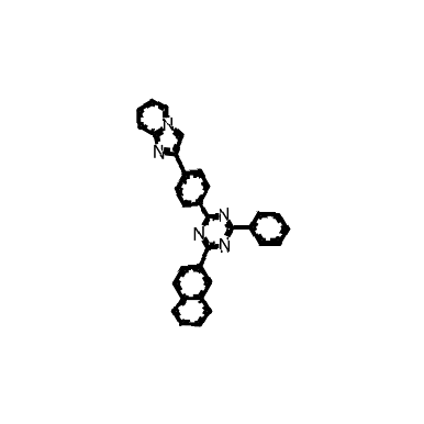 c1ccc(-c2nc(-c3ccc(-c4cn5ccccc5n4)cc3)nc(-c3ccc4ccccc4c3)n2)cc1